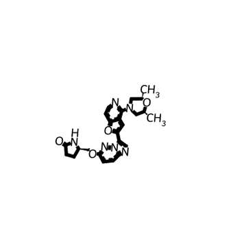 C[C@@H]1CN(c2nccc3oc(-c4cnc5ccc(OC[C@H]6CCC(=O)N6)nn45)cc23)C[C@H](C)O1